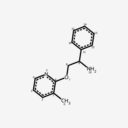 Cc1cccnc1OCC(N)c1ccccc1